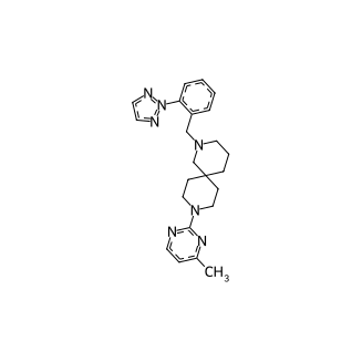 Cc1ccnc(N2CCC3(CCCN(Cc4ccccc4-n4nccn4)C3)CC2)n1